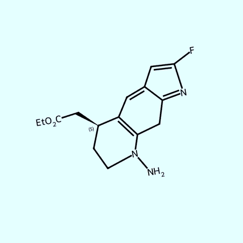 CCOC(=O)C[C@@H]1CCN(N)C2=C1C=C1C=C(F)N=C1C2